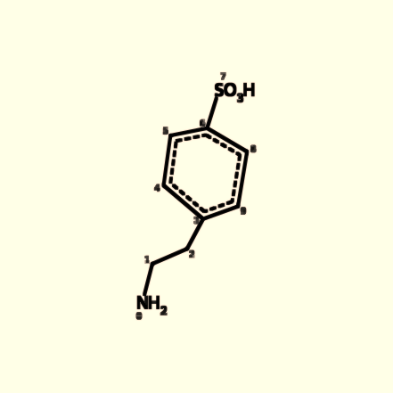 NCCc1ccc(S(=O)(=O)O)cc1